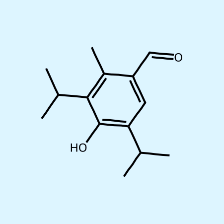 Cc1c(C=O)cc(C(C)C)c(O)c1C(C)C